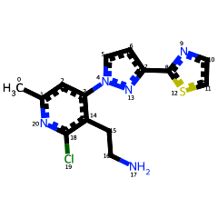 Cc1cc(-n2ccc(-c3nccs3)n2)c(CCN)c(Cl)n1